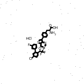 Cl.N[C@@H](Cc1ccc(-c2csc3c(O[C@H](c4ccc(Cl)cc4-c4cccc(F)c4)C(F)(F)F)ncnc23)cc1)C(=O)O